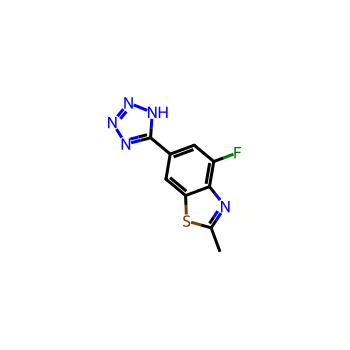 Cc1nc2c(F)cc(-c3nnn[nH]3)cc2s1